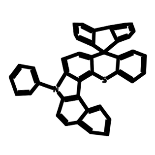 c1ccc(-n2c3ccc4c(c3c3c5ccccc5ccc32)Sc2ccccc2C42c3ccccc3-c3ccccc32)cc1